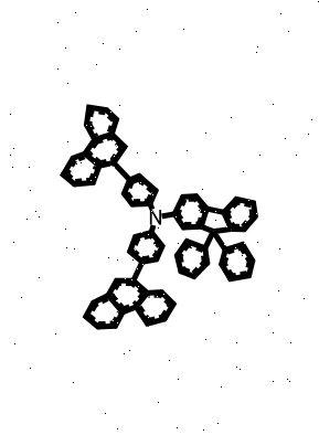 c1ccc(C2(c3ccccc3)c3ccccc3-c3ccc(N(c4ccc(-c5cc6ccccc6c6ccccc56)cc4)c4ccc(-c5cc6ccccc6c6ccccc56)cc4)cc32)cc1